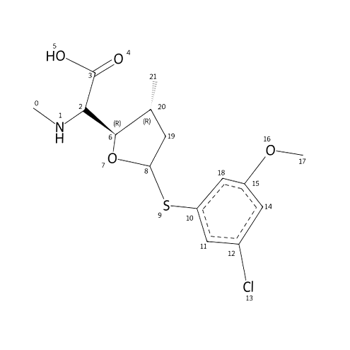 CNC(C(=O)O)[C@@H]1OC(Sc2cc(Cl)cc(OC)c2)C[C@H]1C